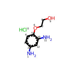 Cl.Nc1ccc(OCCO)c(N)c1